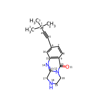 C[Si](C)(C)C#Cc1ccc2c(=O)n3c(nc2c1)CNCC3